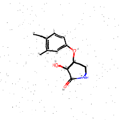 Cc1ccc(OC2CNC(=O)C2O)cc1C